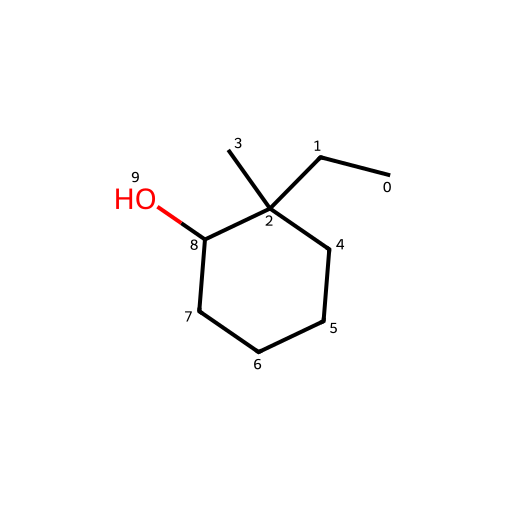 CCC1(C)CCCCC1O